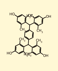 Cc1cc(O)cc(C)c1C(c1ccc(C(c2c(C)cc(O)cc2C)c2c(C)cc(O)cc2C)cc1)c1c(C)cc(O)cc1C